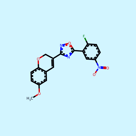 COc1ccc2c(c1)C=C(c1noc(-c3cc([N+](=O)[O-])ccc3F)n1)CO2